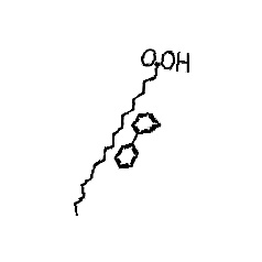 CCCCCCCCCCCCCCCCCC(=O)O.c1ccc(-c2ccccc2)cc1